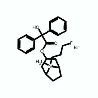 C[N+]1(CCCF)C2CCC1CC(OC(=O)C(O)(c1ccccc1)c1ccccc1)C2.[Br-]